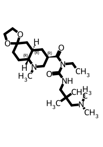 CCN(C(=O)NCC(C)(C)CN(C)C)C(=O)[C@@H]1C[C@@H]2CC3(CC[C@H]2N(C)C1)OCCO3